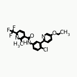 CCOc1ccc(-c2cc(NC(=O)c3ccc(C(F)(F)F)nc3C)ccc2Cl)nc1